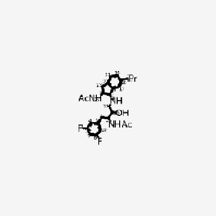 CC(=O)NC(Cc1cc(F)cc(F)c1)C(O)CNC1c2cc(C(C)C)ccc2CC1NC(C)=O